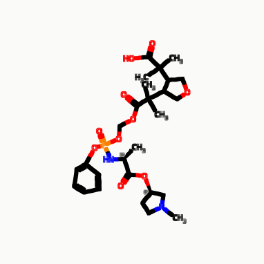 C[C@H](NP(=O)(OCOC(=O)C(C)(C)C1COCC1C(C)(C)C(=O)O)Oc1ccccc1)C(=O)O[C@@H]1CCN(C)C1